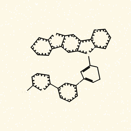 Nc1cccc(-c2cccc(C3=CCCC(n4c5ccccc5c5cc6oc7ccccc7c6cc54)=C3)c2)n1